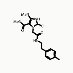 CNC(=O)C1=C(NC)NC(Cl)N1CC(=O)NCCc1ccc(C)cc1